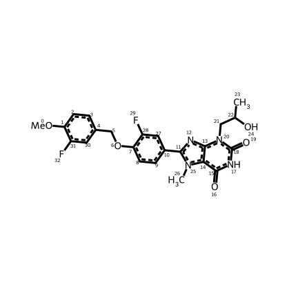 COc1ccc(COc2ccc(-c3nc4c(c(=O)[nH]c(=O)n4CC(C)O)n3C)cc2F)cc1F